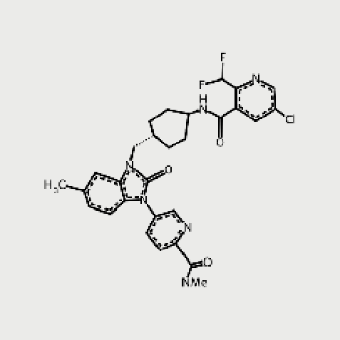 CNC(=O)c1ccc(-n2c(=O)n(C[C@H]3CC[C@H](NC(=O)c4cc(Cl)cnc4C(F)F)CC3)c3cc(C)ccc32)cn1